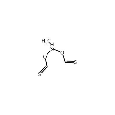 C[SiH](OC=S)OC=S